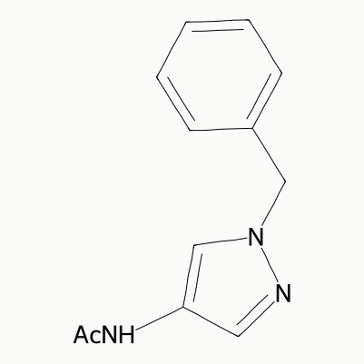 CC(=O)Nc1cnn(Cc2ccccc2)c1